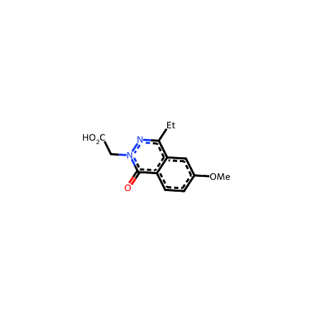 CCc1nn(CC(=O)O)c(=O)c2ccc(OC)cc12